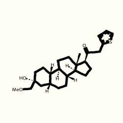 COC[C@@]1(O)CC[C@H]2[C@H](CC[C@@H]3[C@@H]2CC[C@]2(C)[C@@H](C(=O)Cc4cccs4)CC[C@@H]32)C1